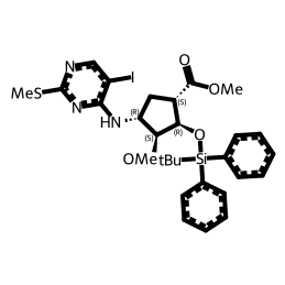 COC(=O)[C@H]1C[C@@H](Nc2nc(SC)ncc2I)[C@H](OC)[C@@H]1O[Si](c1ccccc1)(c1ccccc1)C(C)(C)C